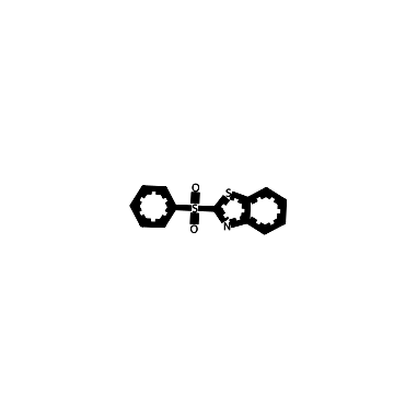 O=S(=O)(c1ccccc1)c1nc2ccccc2s1